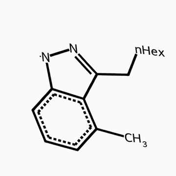 CCCCCCCC1=N[N]c2cccc(C)c21